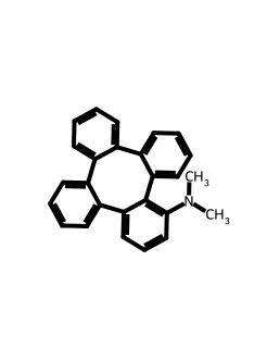 CN(C)c1cccc2c1-c1ccccc1-c1ccccc1-c1ccccc1-2